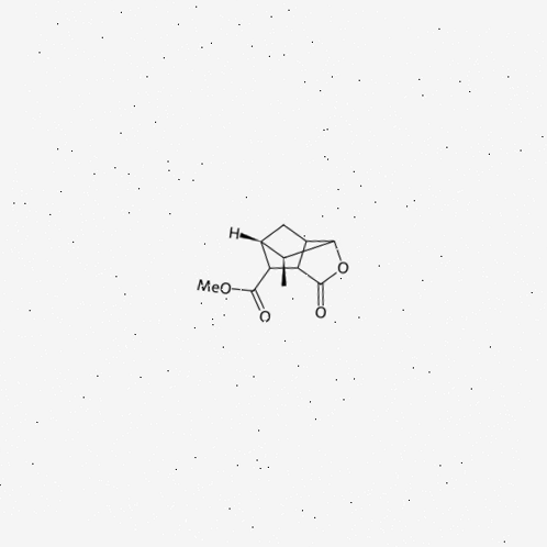 COC(=O)C1C2C(=O)OC3C2C[C@@H]1[C@@H]3C